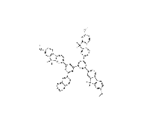 COc1ccc2c(c1)C(C)(C)c1cc(-c3cc(-c4cc(-c5ccc6c(c5)C(C)(C)c5cc(OC)ccc5-6)cc(-c5ccc6ccccc6c5)c4)cc(-c4ccc5c(c4)C(C)(C)c4cc(OC)ccc4-5)c3)ccc1-2